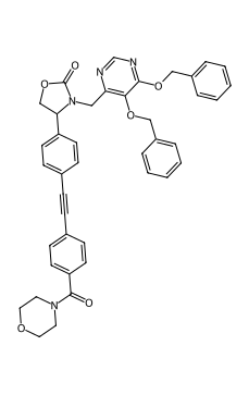 O=C(c1ccc(C#Cc2ccc(C3COC(=O)N3Cc3ncnc(OCc4ccccc4)c3OCc3ccccc3)cc2)cc1)N1CCOCC1